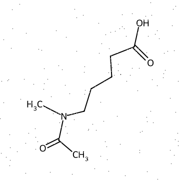 CC(=O)N(C)CCCCC(=O)O